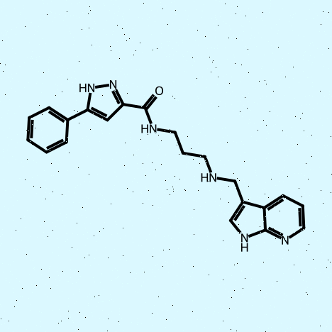 O=C(NCCCNCc1c[nH]c2ncccc12)c1cc(-c2ccccc2)[nH]n1